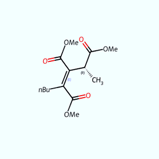 CCCC/C(C(=O)OC)=C(\C(=O)OC)[C@@H](C)C(=O)OC